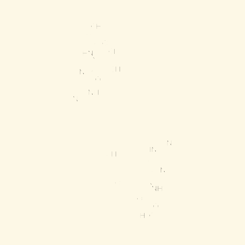 CC#Cc1cc(-c2cnc([C@@H]3CCCN3C(=O)[C@@H](NC(=O)OC)C(C)C)[nH]2)ccc1-c1ccc(-c2cnc([C@@H]3CCCN3C(=O)[C@@H](NC(=O)OC)C3CCOCC3)[nH]2)cc1